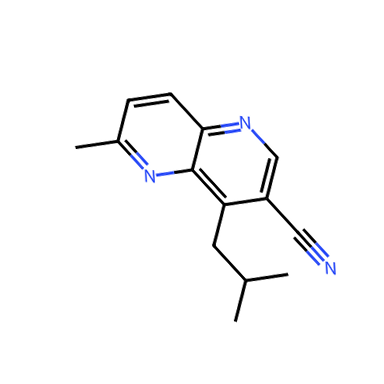 Cc1ccc2ncc(C#N)c(CC(C)C)c2n1